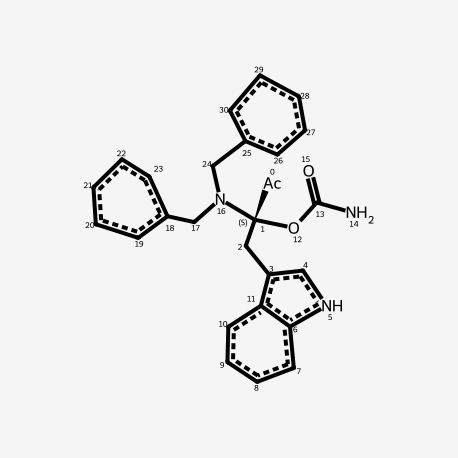 CC(=O)[C@](Cc1c[nH]c2ccccc12)(OC(N)=O)N(Cc1ccccc1)Cc1ccccc1